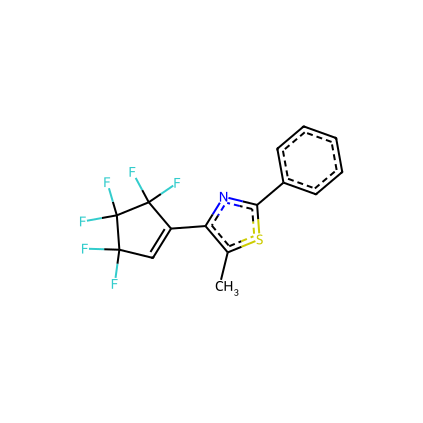 Cc1sc(-c2ccccc2)nc1C1=CC(F)(F)C(F)(F)C1(F)F